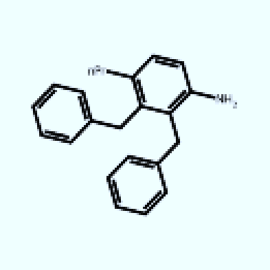 CCCc1ccc(N)c(Cc2ccccc2)c1Cc1ccccc1